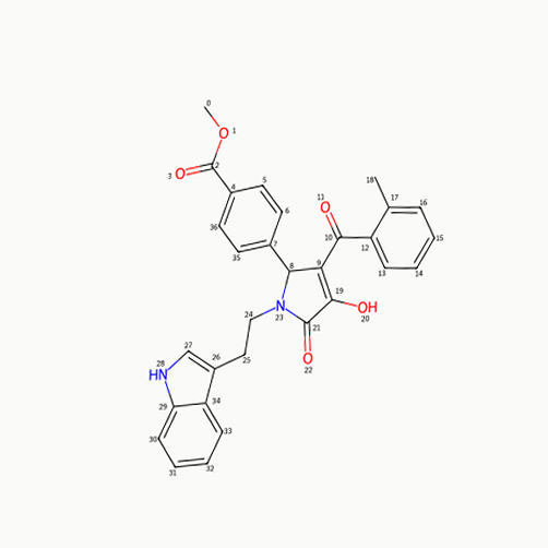 COC(=O)c1ccc(C2C(C(=O)c3ccccc3C)=C(O)C(=O)N2CCc2c[nH]c3ccccc23)cc1